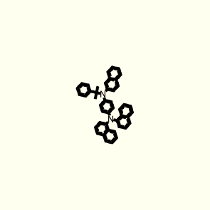 CC(C)(c1ccccc1)N(c1ccc(N(c2cccc3ccccc23)c2cccc3ccccc23)cc1)c1ccc2ccccc2c1